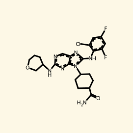 NC(=O)C1CCC(n2c(Nc3c(F)cc(F)cc3Cl)nc3cnc(NC4CCCOC4)nc32)CC1